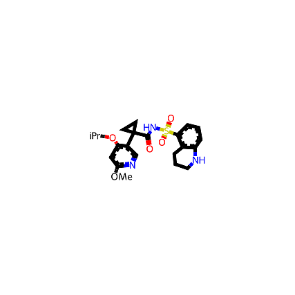 COc1cc(OC(C)C)c(C2(C(=O)NS(=O)(=O)c3cccc4c3CCCN4)CC2)cn1